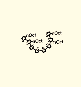 CCCCCCCCc1ccsc1-c1cc(CCCCCCCC)c(-c2ccc(-c3ccc(-c4ccc(-c5ccc(-c6sc(-c7sccc7CCCCCCCC)cc6CCCCCCCC)s5)s4)s3)s2)s1